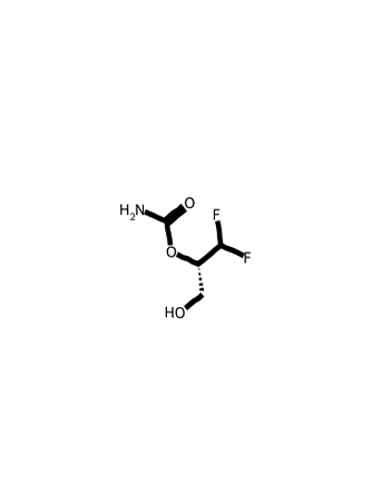 NC(=O)O[C@@H](CO)C(F)F